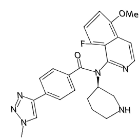 COc1ccc(F)c2c(N(C(=O)c3ccc(-c4cn(C)nn4)cc3)[C@@H]3CCCNC3)nccc12